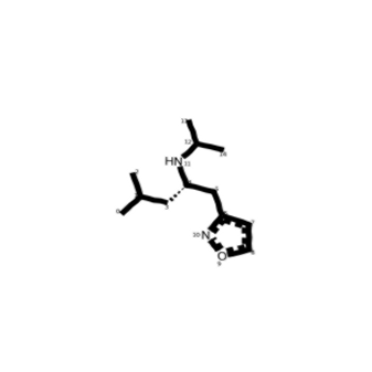 CC(C)C[C@@H](Cc1ccon1)NC(C)C